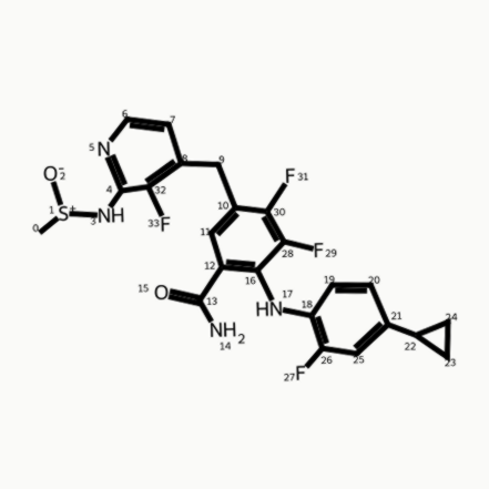 C[S+]([O-])Nc1nccc(Cc2cc(C(N)=O)c(Nc3ccc(C4CC4)cc3F)c(F)c2F)c1F